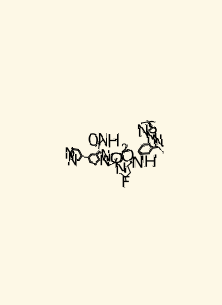 Cc1nn(C2=NCCS2)c2ccc(NC(=O)C3CC(F)CN3C(=O)Cn3nc(C(N)=O)c4cc(-c5ccnnc5)ccc43)cc12